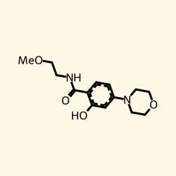 COCCNC(=O)c1ccc(N2CCOCC2)cc1O